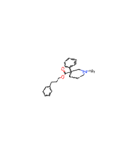 CCCN1CCCC(C(=O)OCCCc2ccccc2)(c2ccccc2)C1